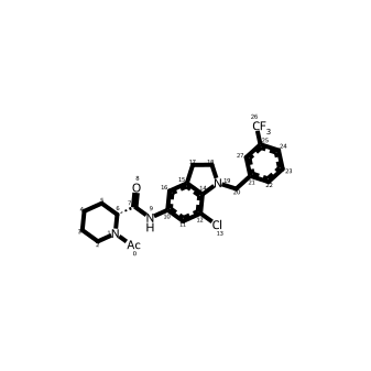 CC(=O)N1CCCC[C@@H]1C(=O)Nc1cc(Cl)c2c(c1)CCN2Cc1cccc(C(F)(F)F)c1